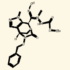 CN(NC(=O)OC(C)(C)C)/C(=N\O)[C@@H]1c2c(cnn2C)[C@@H]2CN1C(=O)N2OCc1ccccc1